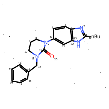 CCCCc1nc2ccc(N3CCCN(Cc4ccccc4)C3=O)cc2[nH]1